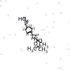 CC(C)(C)OC(=O)N1CC(c2ccc(/C=N/O)cc2)C1